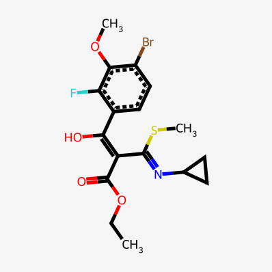 CCOC(=O)C(/C(=N/C1CC1)SC)=C(\O)c1ccc(Br)c(OC)c1F